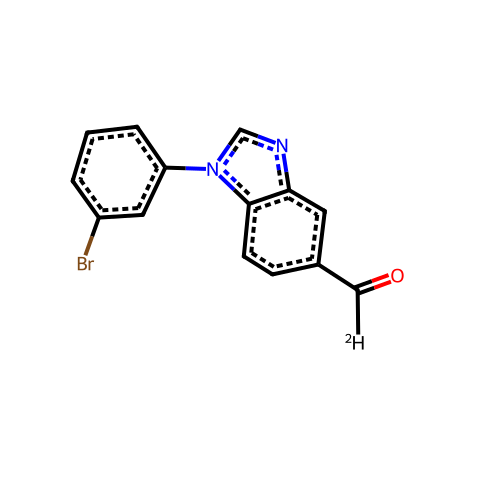 [2H]C(=O)c1ccc2c(c1)ncn2-c1cccc(Br)c1